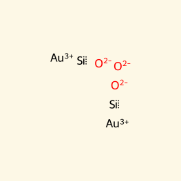 [Au+3].[Au+3].[O-2].[O-2].[O-2].[Si].[Si]